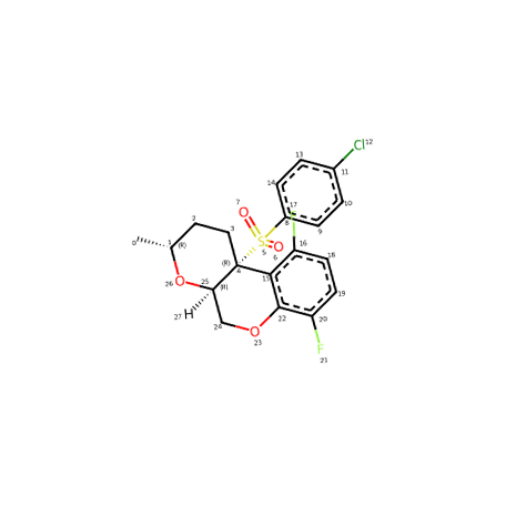 C[C@@H]1CC[C@@]2(S(=O)(=O)c3ccc(Cl)cc3)c3c(F)ccc(F)c3OC[C@H]2O1